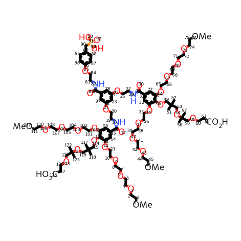 COCCOCCOCCOCCOc1cc(C(=O)NCCOc2cc(OCCNC(=O)c3cc(OCCOCCOCCOCCOC)c(OCC(C)(C)COC(C)(C)COCCC(=O)O)c(OCCOCCOCCOCCOC)c3)cc(C(=O)NCCOc3ccc(CP(=O)(O)O)cc3)c2)cc(OCCOCCOCCOCCOC)c1OCC(C)(C)COC(C)(C)COCCC(=O)O